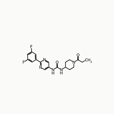 CCC(=O)N1CCC(NC(=O)Nc2cnc(-c3cc(F)cc(F)c3)nc2)CC1